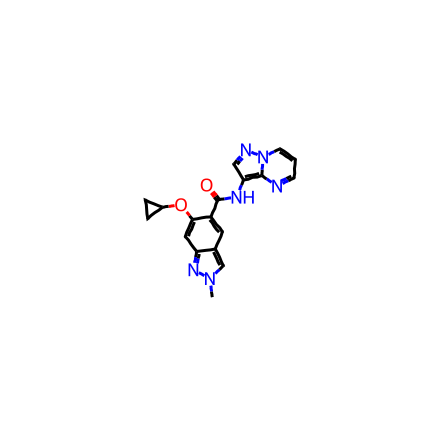 Cn1cc2cc(C(=O)Nc3cnn4cccnc34)c(OC3CC3)cc2n1